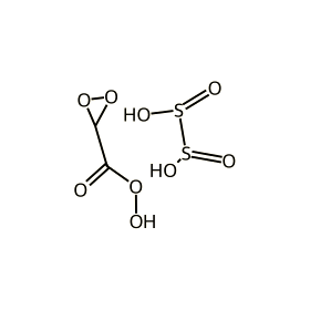 O=C(OO)C1OO1.O=S(O)S(=O)O